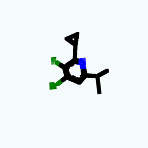 CC(C)c1cc(Br)c(F)c(C2CC2)n1